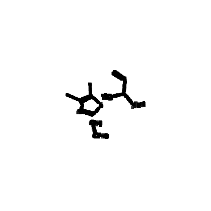 C=CC(O)CCCCC.Cc1ncsc1C.O=CO